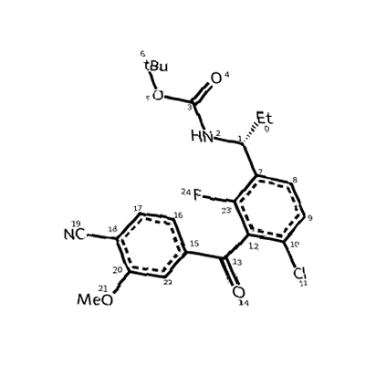 CC[C@@H](NC(=O)OC(C)(C)C)c1ccc(Cl)c(C(=O)c2ccc(C#N)c(OC)c2)c1F